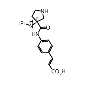 CC(C)N[C@@]1(C(=O)Nc2ccc(/C=C/C(=O)O)cc2)CCNC1